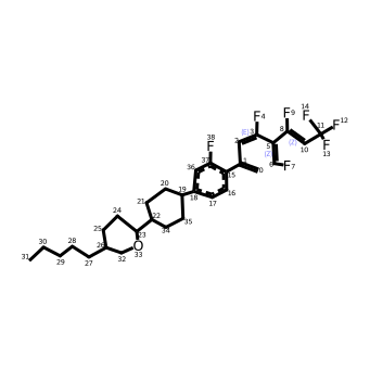 C=C(\C=C(F)/C(=C/F)C(/F)=C/C(F)(F)F)c1ccc(C2CCC(C3CCC(CCCCC)CO3)CC2)cc1F